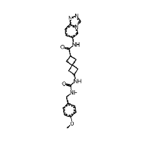 COc1ccc(CNC(=O)NC2CC3(C2)CC(C(=O)Nc2ccc4nncn4c2)C3)cc1